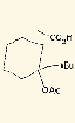 CC(=O)O.CCCCC1(OC(C)=O)CCCCC1